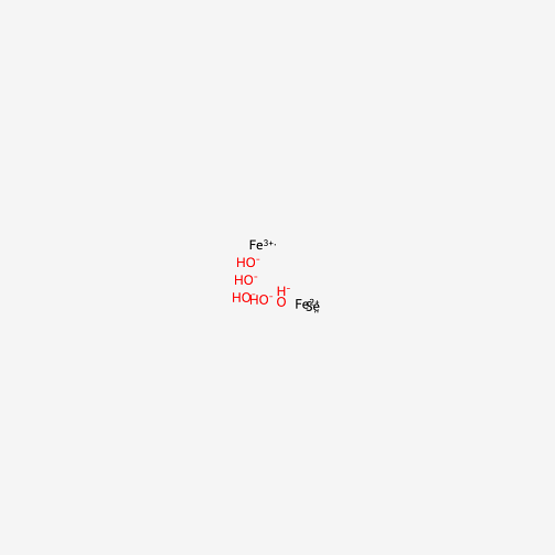 [Fe+2].[Fe+3].[OH-].[OH-].[OH-].[OH-].[OH-].[Se]